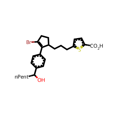 CCCCCC(O)c1ccc(C2=C(Br)CCC2CCCc2ccc(C(=O)O)s2)cc1